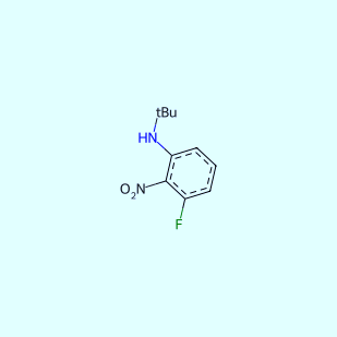 CC(C)(C)Nc1cccc(F)c1[N+](=O)[O-]